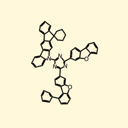 c1ccc(-c2cccc3oc4cc(-c5nc(-c6ccc7c(c6)oc6ccccc67)nc(-n6c7ccccc7c7cc8c(cc76)C6(CCCCC6)c6ccccc6-8)n5)ccc4c23)cc1